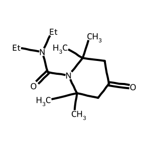 CCN(CC)C(=O)N1C(C)(C)CC(=O)CC1(C)C